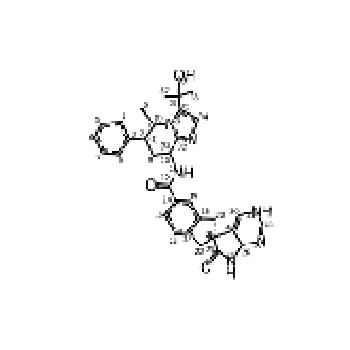 C[C@@H]1[C@H](c2ccccc2)C[C@H](NC(=O)c2ccc3c(c2)C[C@@]2(C3)C(=O)NC3N=CNC=C32)c2ncc(C(C)(C)O)n21